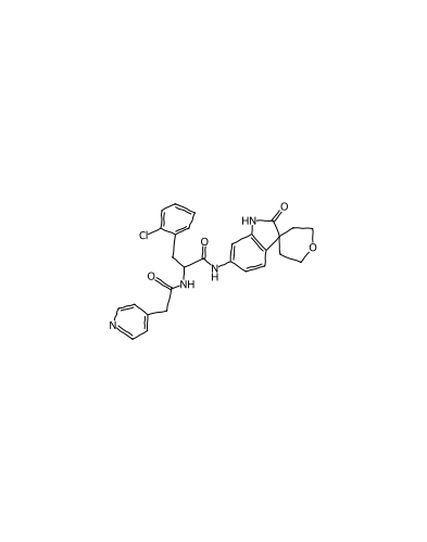 O=C(Cc1ccncc1)NC(Cc1ccccc1Cl)C(=O)Nc1ccc2c(c1)NC(=O)C21CCOCC1